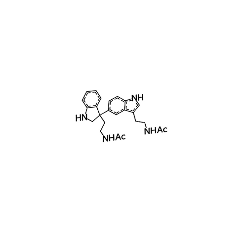 CC(=O)NCCc1c[nH]c2ccc(C3(CCNC(C)=O)CNc4ccccc43)cc12